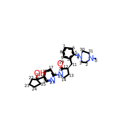 CN1CCN(c2ccccc2C[C@H]2CCN(c3ccc(C4(O)CCCC4)cn3)C2=O)CC1